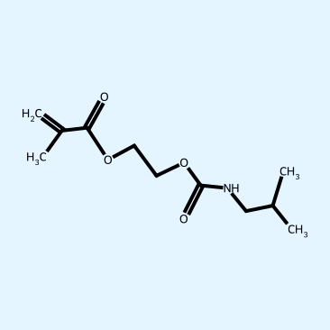 C=C(C)C(=O)OCCOC(=O)NCC(C)C